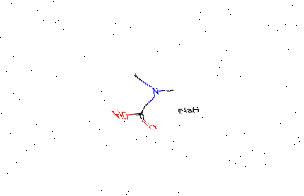 CN(C)C(=O)O.[NaH]